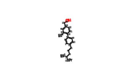 CCCC(CC)CCCc1ccc(-c2ccc(CO)cc2CC)cc1